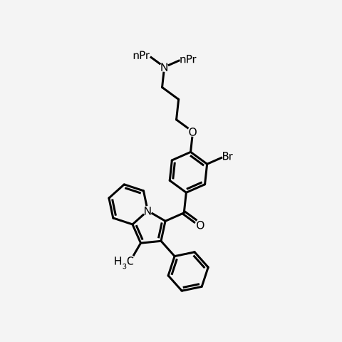 CCCN(CCC)CCCOc1ccc(C(=O)c2c(-c3ccccc3)c(C)c3ccccn23)cc1Br